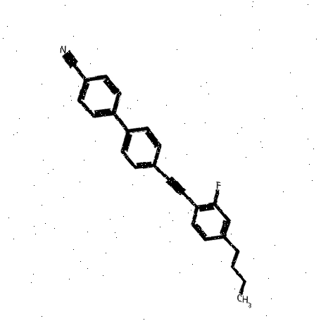 CCCCc1ccc(C#Cc2ccc(-c3ccc(C#N)cc3)cc2)c(F)c1